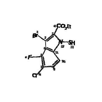 CCOC(=O)c1c(Br)c2c(F)c(Cl)ccc2n1S